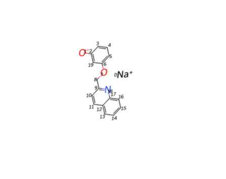 [Na+].[O-]c1cccc(OCc2ccc3ccccc3n2)c1